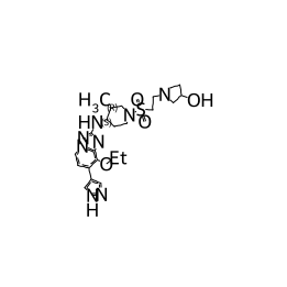 CCOc1c(-c2cn[nH]c2)ccn2nc(N[C@H]3CCN(S(=O)(=O)CCN4CCC(O)C4)C[C@H]3C)nc12